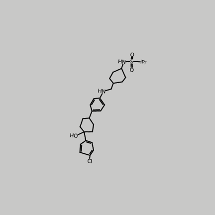 CC(C)S(=O)(=O)NC1CCC(CNc2ccc(C3CCC(O)(c4ccc(Cl)cc4)CC3)cc2)CC1